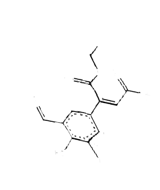 CCOC(=O)C(=CC(=O)O)c1cc(I)c(O)c(C=O)c1